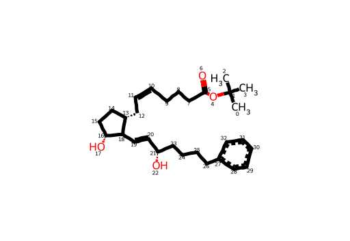 CC(C)(C)OC(=O)CCC/C=C\C[C@H]1CC[C@@H](O)C1/C=C/[C@@H](O)CCCCc1ccccc1